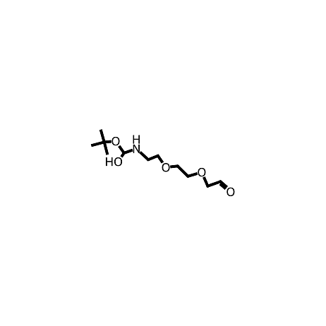 CC(C)(C)OC(O)NCCOCCOCC=O